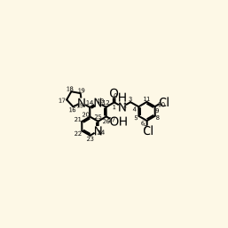 O=C(NCc1cc(Cl)cc(Cl)c1)c1nc(N2CCCC2)c2cccnc2c1O